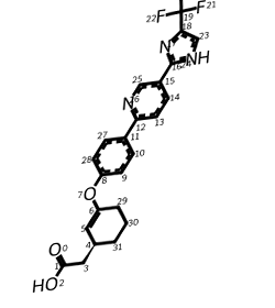 O=C(O)C[C@H]1C=C(Oc2ccc(-c3ccc(-c4nc(C(F)(F)F)c[nH]4)cn3)cc2)CCC1